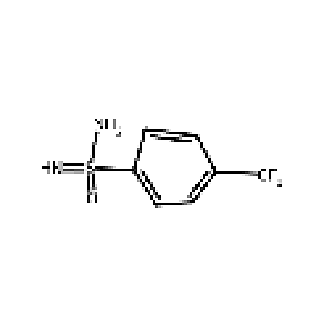 N=S(N)(=O)c1ccc(C(F)(F)F)cc1